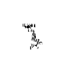 C[C@H](NCCCNC(=N)N)c1ccc(-n2cc3cc(-c4cc(CCC[C@@H](N)CF)cc(Cl)c4F)[nH]c3nc2=O)cc1